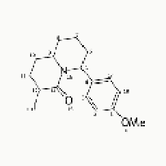 COc1ccc(C2CCCC3CCC(I)C(=O)N32)cc1